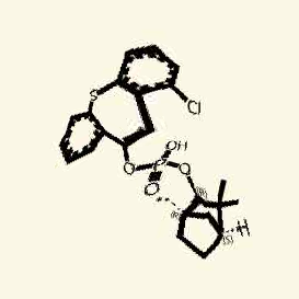 CC1(C)[C@H]2CC[C@](C)(C2)[C@H]1OP(=O)(O)OC1=Cc2c(Cl)cccc2Sc2ccccc21